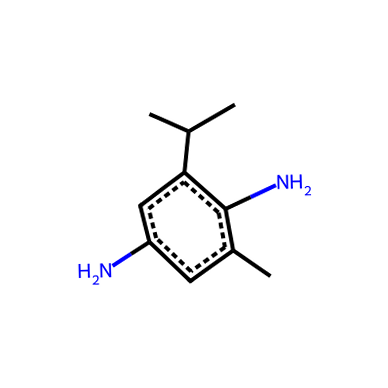 Cc1cc(N)cc(C(C)C)c1N